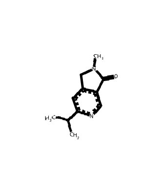 CC(C)c1cc2c(cn1)C(=O)N(C)C2